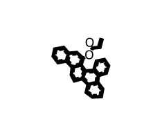 C=CC(=O)Oc1cc2ccccc2c2ccc3c4ccccc4c4ccccc4c3c12